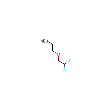 CCCCCCOCC(F)F